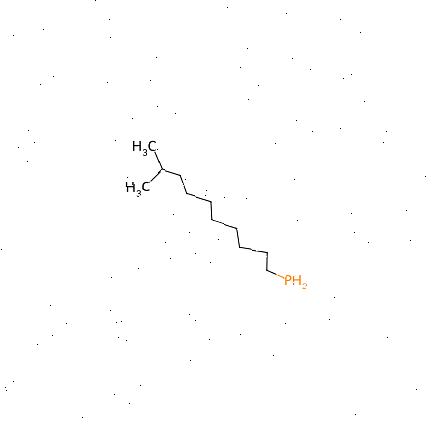 CC(C)CCCCCCCCP